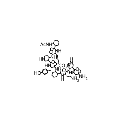 CC(=O)NC1CCCCC1C(=O)N[C@@H](CCCCC(=O)O)C(=O)NC1CCNCC1C(=O)N[C@@H](Cc1ccc(O)cc1)C(=O)NC1CCCCC1C(=O)N[C@@H](CCN)C(=O)NC1CCNCC1C(=O)N[C@@H](C)C(N)=O